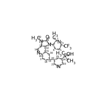 Cc1nc(C(F)(F)F)ccc1-n1c(=O)n(C)c2cnc3ccc(-c4cncc(C(C)(C)O)c4)cc3c21